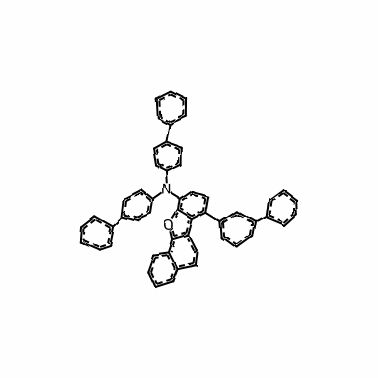 c1ccc(-c2ccc(N(c3ccc(-c4ccccc4)cc3)c3ccc(-c4cccc(-c5ccccc5)c4)c4c3oc3c5ccccc5ccc34)cc2)cc1